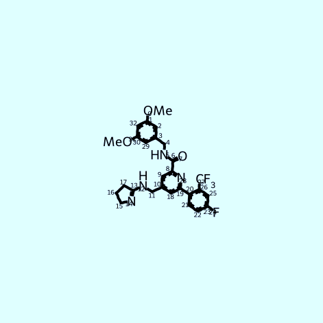 COc1cc(CNC(=O)c2cc(CNC3=NCCC3)cc(-c3ccc(F)cc3C(F)(F)F)n2)cc(OC)c1